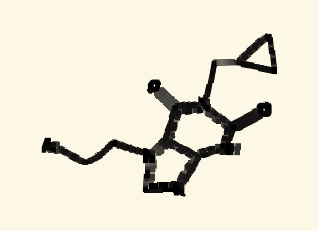 CC(=O)CCn1cnc2[nH]c(=O)n(CC3CC3)c(=O)c21